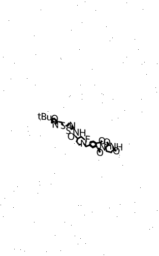 CC(C)(C)c1cnc(CSc2cnc(NC(=O)C3CCN(Cc4cc5c(cc4F)C(=O)N(C4CCC(=O)NC4=O)C5=O)CC3)s2)o1